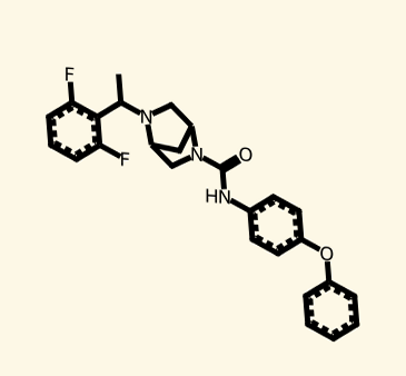 CC(c1c(F)cccc1F)N1CC2CC1CN2C(=O)Nc1ccc(Oc2ccccc2)cc1